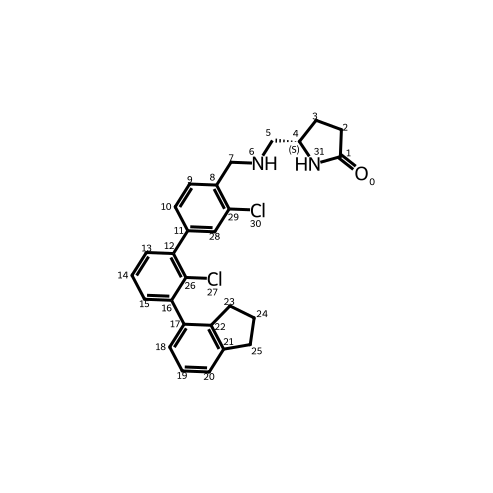 O=C1CC[C@@H](CNCc2ccc(-c3cccc(-c4cccc5c4CCC5)c3Cl)cc2Cl)N1